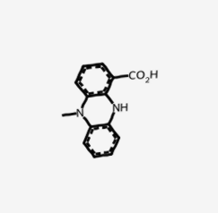 CN1c2ccccc2Nc2c(C(=O)O)cccc21